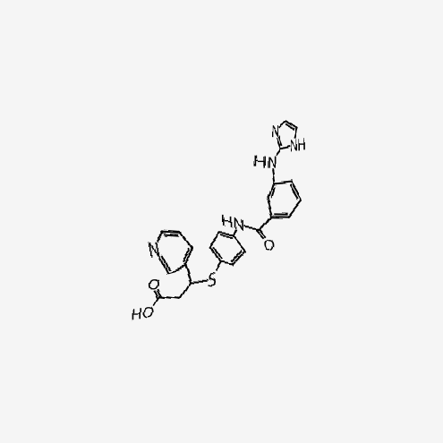 O=C(O)CC(Sc1ccc(NC(=O)c2cccc(Nc3ncc[nH]3)c2)cc1)c1cccnc1